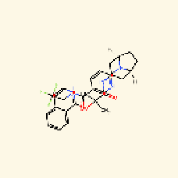 CC(C)(Oc1nccc2ccccc12)C(=O)N[C@H]1C[C@H]2CC[C@@H](C1)N2c1ccc(C(=O)NCC(F)(F)F)cn1